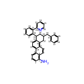 Nc1cccc2c1ccc1c3c(ccc12)C(c1ccccc1-c1ccccn1)CC(Cc1ccccc1)C3